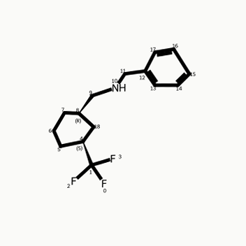 FC(F)(F)[C@H]1CCC[C@@H](CNCc2ccccc2)C1